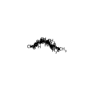 CN(C)CCCNC(=O)c1cc(NC(=O)c2cc(NC(=O)c3cc(NC(=O)c4ccc([S+]([O-])CCCl)cc4)cn3C)cn2C)cn1C